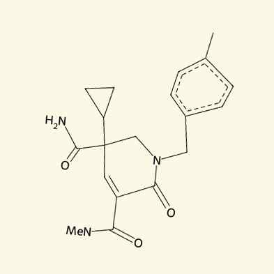 CNC(=O)C1=CC(C(N)=O)(C2CC2)CN(Cc2ccc(C)cc2)C1=O